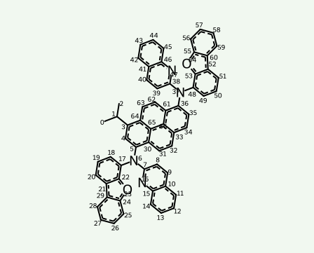 CC(C)c1cc(N(c2ccc3ccccc3n2)c2cccc3c2oc2ccccc23)c2ccc3ccc(N(c4ccc5ccccc5n4)c4cccc5c4oc4ccccc45)c4ccc1c2c34